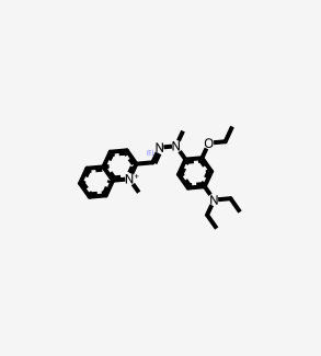 CCOc1cc(N(CC)CC)ccc1N(C)/N=C/c1ccc2ccccc2[n+]1C